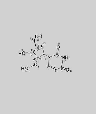 CO[C@H]1C(n2ccc(=O)[nH]c2=O)S[C@H](CO)[C@H]1O